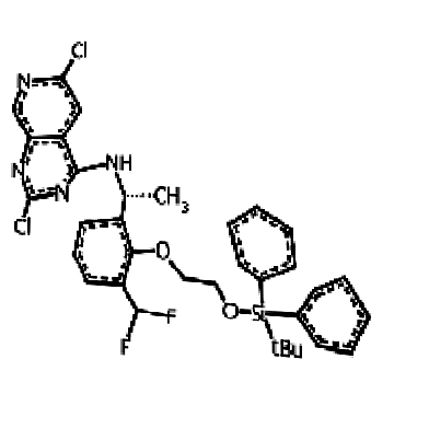 C[C@@H](Nc1nc(Cl)nc2cnc(Cl)cc12)c1cccc(C(F)F)c1OCCO[Si](c1ccccc1)(c1ccccc1)C(C)(C)C